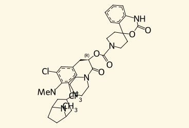 CNc1c(Cl)cc(C[C@@H](OC(=O)N2CCC3(CC2)OC(=O)Nc2ccccc23)C(=O)N2CCN(C3CC4CCC(C3)N4C)CC2)cc1C(F)(F)F